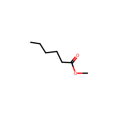 [CH2]CCCCC(=O)OC